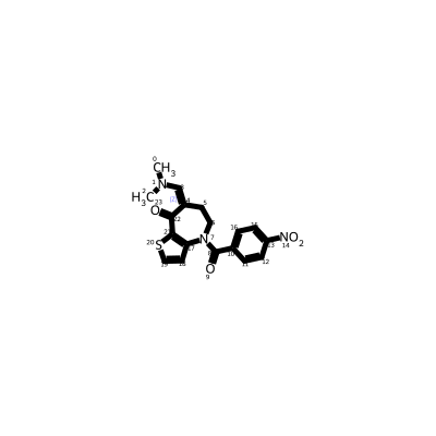 CN(C)/C=C1/CCN(C(=O)c2ccc([N+](=O)[O-])cc2)c2ccsc2C1=O